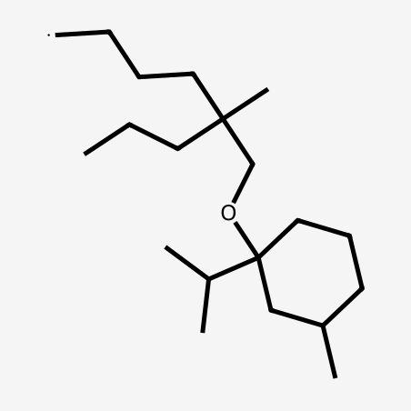 [CH2]CCCC(C)(CCC)COC1(C(C)C)CCCC(C)C1